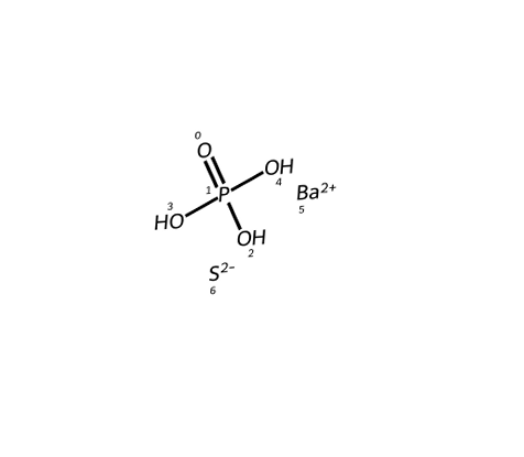 O=P(O)(O)O.[Ba+2].[S-2]